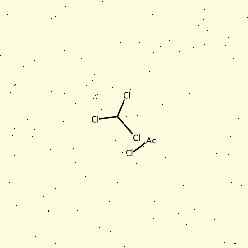 CC(=O)Cl.ClC(Cl)Cl